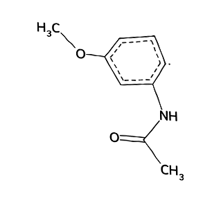 COc1cc[c]c(NC(C)=O)c1